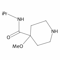 COC1(C(=O)NC(C)C)CCNCC1